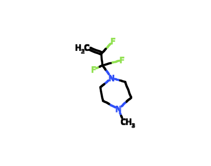 C=C(F)C(F)(F)N1CCN(C)CC1